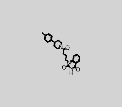 Cc1ccc(C2=CCN(C(=O)CCCn3c(=O)[nH]c(=O)c4ccccc43)CC2)cc1